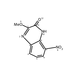 COc1nc2cccc([N+](=O)[O-])c2[nH]c1=O